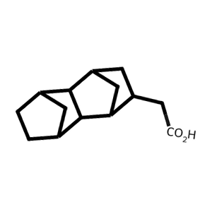 O=C(O)CC1CC2CC1C1C3CCC(C3)C21